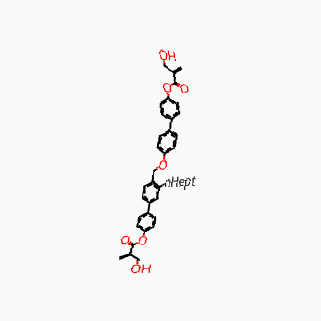 C=C(CO)C(=O)Oc1ccc(-c2ccc(OCc3ccc(-c4ccc(OC(=O)C(=C)CO)cc4)cc3CCCCCCC)cc2)cc1